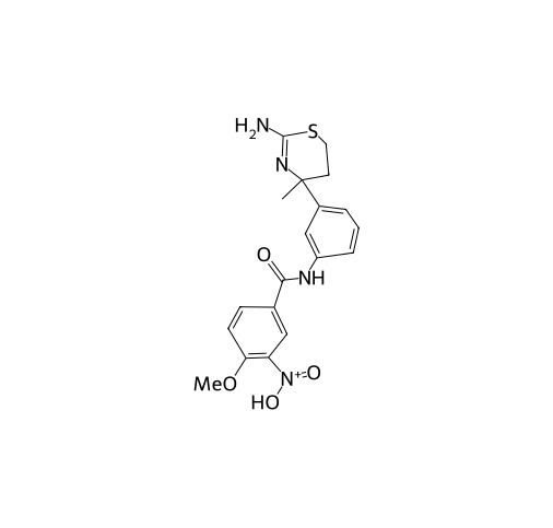 COc1ccc(C(=O)Nc2cccc(C3(C)CCSC(N)=N3)c2)cc1[N+](=O)O